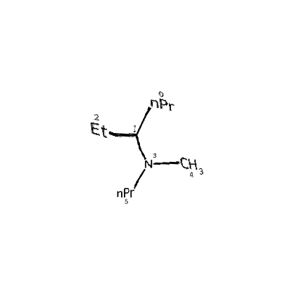 CCCC(CC)N(C)CCC